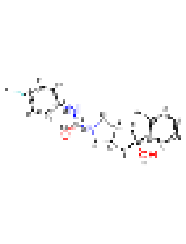 Cc1ccccc1C1(O)CC2CN(C(=O)Nc3ccc(F)cc3)CC2C1